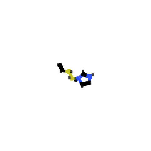 C=CSSn1ccnc1